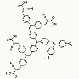 COc1ccc(C(=Cc2ccc(N(c3ccc(C=C(c4ccc(/C=C(\C#N)C(=O)O)cc4)c4ccc(/C=C(\C#N)C(=O)O)cc4)cc3)c3ccc(C=C(c4ccc(/C=C(\C#N)C(=O)O)cc4)c4ccc(/C=C(\C#N)C(=O)O)cc4)cc3)cc2)c2ccc(OC)cc2)cc1